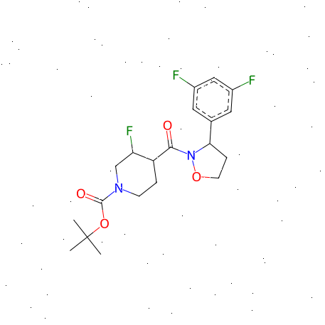 CC(C)(C)OC(=O)N1CCC(C(=O)N2OCCC2c2cc(F)cc(F)c2)C(F)C1